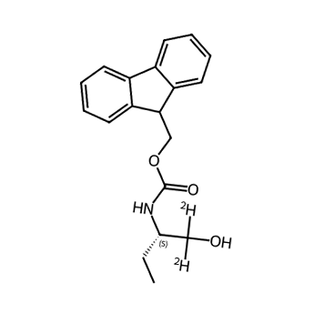 [2H]C([2H])(O)[C@H](CC)NC(=O)OCC1c2ccccc2-c2ccccc21